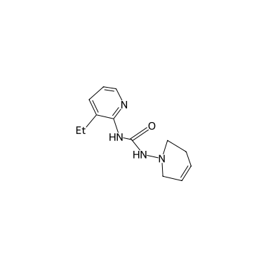 CCc1cccnc1NC(=O)NN1CC=CCC1